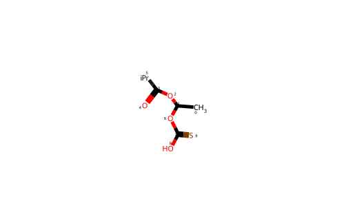 CC(OC(=O)C(C)C)OC(O)=S